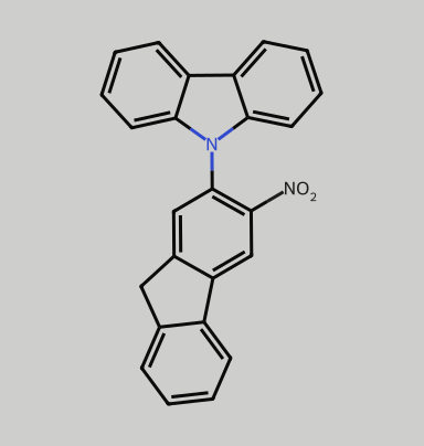 O=[N+]([O-])c1cc2c(cc1-n1c3ccccc3c3ccccc31)Cc1ccccc1-2